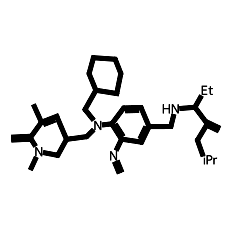 C=Nc1cc(CNC(CC)C(=C)CC(C)C)ccc1N(CC1C=C(C)C(=C)N(C)C1)CC1CCCCC1